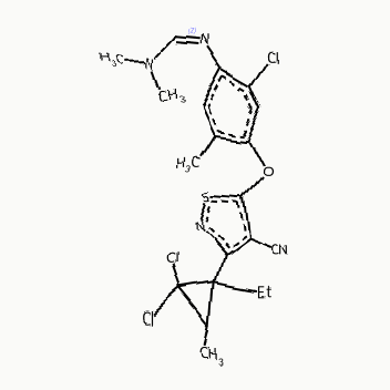 CCC1(c2nsc(Oc3cc(Cl)c(/N=C\N(C)C)cc3C)c2C#N)C(C)C1(Cl)Cl